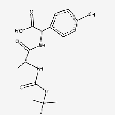 CC(NC(=O)OC(C)(C)C)C(=O)NC(C(=O)O)c1ccc(O)cc1